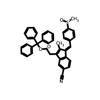 CC1=C(CC(=O)OC(c2ccccc2)(c2ccccc2)c2ccccc2)c2cc(C#N)ccc2/C1=C/c1ccc([S+](C)[O-])cc1